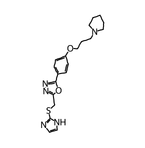 c1c[nH]c(SCc2nnc(-c3ccc(OCCCN4CCCCC4)cc3)o2)n1